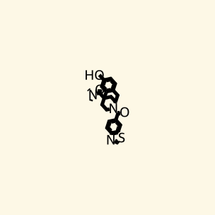 CN(C)C(=O)C12CCN(C(=O)c3ccc4ncsc4c3)C(Cc3ccc(O)cc31)C2